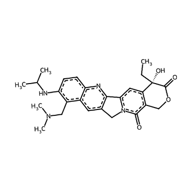 CC[C@@]1(O)C(=O)OCc2c1cc1n(c2=O)Cc2cc3c(CN(C)C)c(NC(C)C)ccc3nc2-1